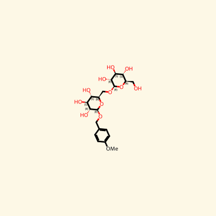 COc1ccc(CO[C@@H]2O[C@H](CO[C@@H]3O[C@H](CO)[C@@H](O)[C@H](O)[C@H]3O)[C@@H](O)[C@H](O)[C@H]2O)cc1